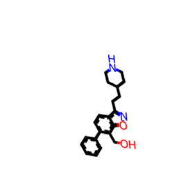 OCc1c(-c2ccccc2)ccc2c(CCC3CCNCC3)noc12